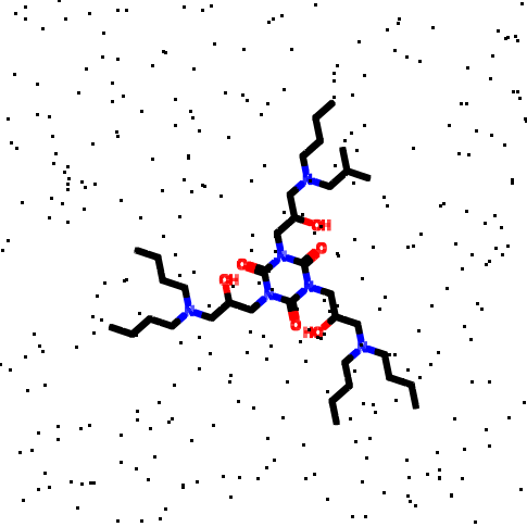 CCCCN(CCCC)CC(O)Cn1c(=O)n(CC(O)CN(CCCC)CCCC)c(=O)n(CC(O)CN(CCCC)CC(C)C)c1=O